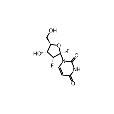 O=c1ccn([C@]2(F)O[C@H](CO)[C@@H](O)[C@H]2F)c(=O)[nH]1